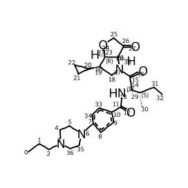 CCCN1CCN(c2ccc(C(=O)N[C@H](C(=O)N3C[C@@H](C4CC4)[C@H]4OCC(=O)[C@H]43)[C@@H](C)CC)cc2)CC1